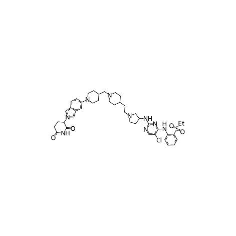 CCS(=O)(=O)c1ccccc1Nc1nc(NC2CCN(CCC3CCN(CC4CCN(c5ccc6cn(C7CCC(=O)NC7=O)cc6c5)CC4)CC3)C2)ncc1Cl